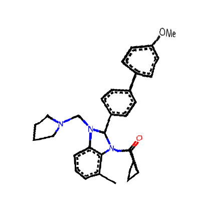 COc1ccc(-c2ccc(C3N(CN4CCCC4)c4cccc(C)c4N3C(=O)C3CC3)cc2)cc1